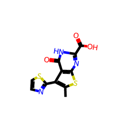 Cc1sc2nc(C(=O)O)[nH]c(=O)c2c1-c1nccs1